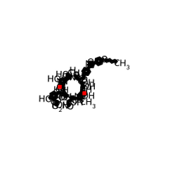 CCCCCOc1ccc(-c2cc(-c3ccc(C(=O)N[C@H]4C[C@@H](O)[C@@H](O)NC(=O)[C@@H]5[C@@H](O)[C@@H](C)CN5C(=O)[C@H]([C@H](O)CC(N)=O)NC(=O)C([C@H](O)[C@@H](O)c5ccc(O)c(OS(=O)(=O)O)c5)NC(=O)[C@H]5C[C@@H](O)CN5C(=O)[C@H]([C@@H](C)O)NC4=O)cc3)no2)cc1